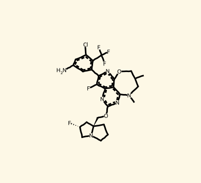 CC1COc2nc(-c3cc(N)cc(Cl)c3C(F)(F)F)c(F)c3nc(OC[C@@]45CCCN4C[C@H](F)C5)nc(c23)N(C)C1